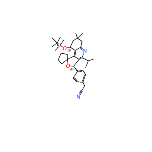 CC(C)c1nc2c(c3c1[C@@H](c1ccc(CC#N)cc1)OC31CCCC1)[C@@H](O[Si](C)(C)C(C)(C)C)CC(C)(C)C2